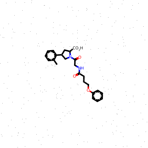 Cc1ccccc1C1CC(C(=O)O)N(C(=O)CNC(=O)CCCOc2ccccc2)C1